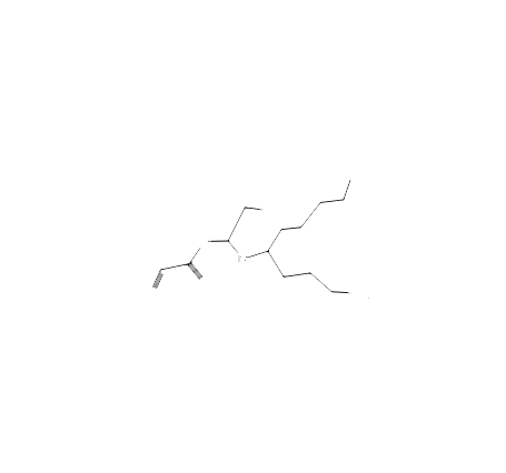 C=CC(=O)OC(CC)NC(CCCC)CCCCC